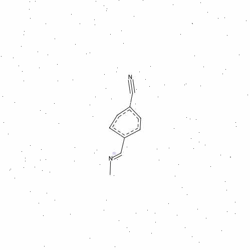 C/N=C/c1ccc(C#N)cc1